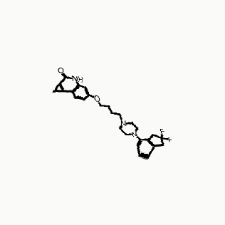 O=C1Nc2cc(OCCCCN3CCN(c4cccc5c4CC(F)(F)C5)CC3)ccc2C2CC12